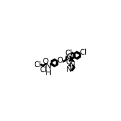 O=C(Nc1ccc(OCC2COC(Cn3ccnc3)(c3ccc(Cl)cc3Cl)O2)cc1)C(Cl)Cl